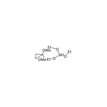 CCO[SiH](OCC)OCC.COC1(OC)CC1